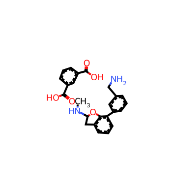 CNC1Cc2cccc(-c3cccc(CN)c3)c2O1.O=C(O)c1cccc(C(=O)O)c1